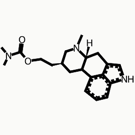 CN(C)C(=O)OCC[C@@H]1CC2c3cccc4[nH]cc(c34)C[C@H]2N(C)C1